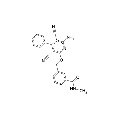 CNC(=O)c1cccc(COc2nc(N)c(C#N)c(-c3ccccc3)c2C#N)c1